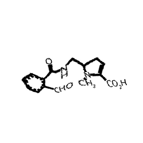 CN1C(C(=O)O)=CCC1CNC(=O)c1ccccc1C=O